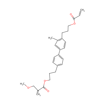 C=CC(=O)OCCCc1ccc(-c2ccc(CCCOC(=O)C(=C)COC)cc2)cc1C